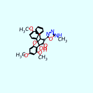 CNc1nnc([C@@H]2C(c3ccccc3)C3(c4ccc(OC)cc4)Oc4cc(OC)cc(OC)c4C3(O)[C@@H]2O)o1